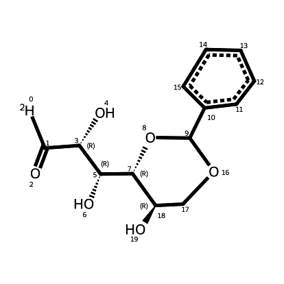 [2H]C(=O)[C@H](O)[C@@H](O)[C@@H]1OC(c2ccccc2)OC[C@H]1O